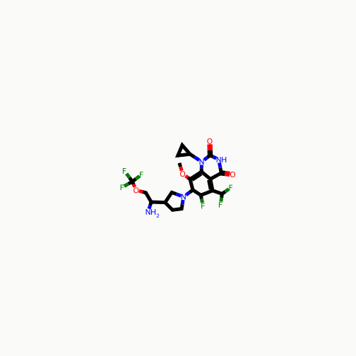 COC1=c2c(c(=O)[nH]c(=O)n2C2CC2)=C(C(F)F)C(F)C1N1CCC(C(N)COC(F)(F)F)C1